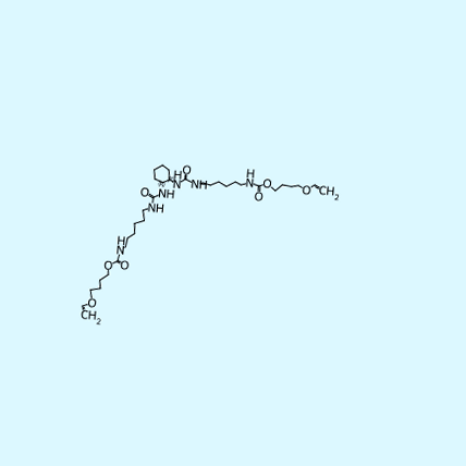 C=COCCCCOC(=O)NCCCCCCNC(=O)N[C@@H]1CCCC[C@H]1NC(=O)NCCCCCCNC(=O)OCCCCOC=C